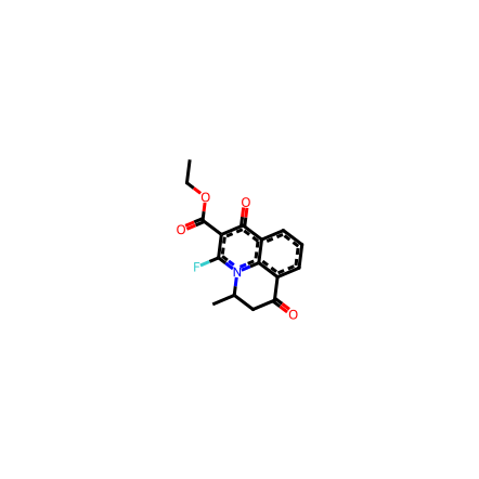 CCOC(=O)c1c(F)n2c3c(cccc3c1=O)C(=O)CC2C